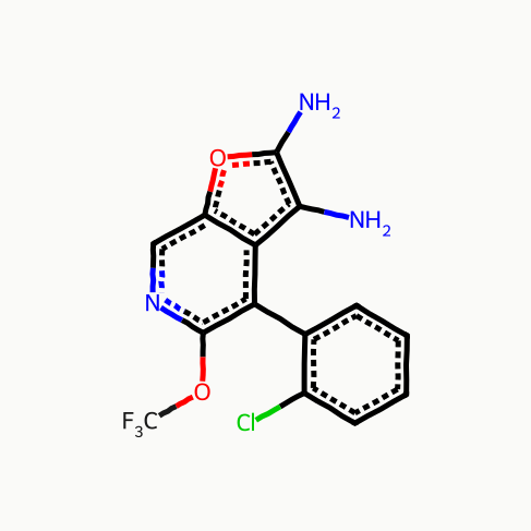 Nc1oc2cnc(OC(F)(F)F)c(-c3ccccc3Cl)c2c1N